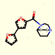 O=C(c1cc(-c2ccco2)co1)N1CCN2CCC1CC2